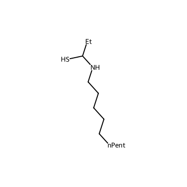 CCCCCCCCCCNC(S)CC